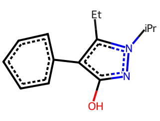 CCc1c(-c2ccccc2)c(O)nn1C(C)C